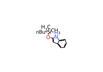 CCCC[Si](C)(C)Oc1cc2ccccc2[nH]1